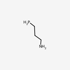 NCCCP